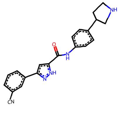 N#Cc1cccc(-c2cc(C(=O)Nc3ccc(C4CCNC4)cc3)[nH]n2)c1